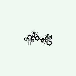 Cn1c(=O)n(C2CCC(=O)NC2=O)c2ccc(-c3cnc(C4C=CCCN4C(=O)OC(C)(C)C)nc3)cc21